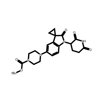 CC(C)(C)OC(=O)N1CCN(c2ccc3c(c2)C2(CC2)C(=O)N3C2CCC(=O)NC2=O)CC1